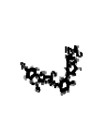 CC(=O)Nc1cn2cc(-c3cc(NC(=O)c4cc([S+](C)[O-])n(-c5ccc(F)cc5)n4)ccc3C)ccc2n1